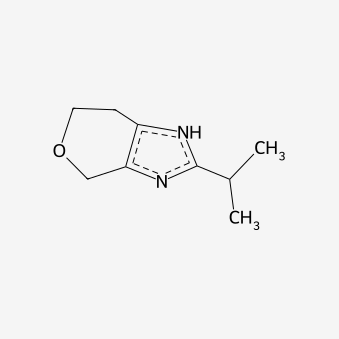 CC(C)c1nc2c([nH]1)CCOC2